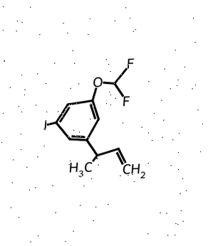 C=C[C](C)c1cc(I)cc(OC(F)F)c1